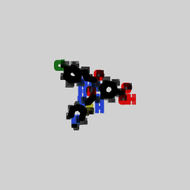 CN1CCc2nc(C(=O)N[C@@H]3C[C@H](C(=O)O)CC[C@@H]3NC(=O)c3cc4cc(Cl)ccc4[nH]3)sc2C1